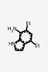 CCc1cc(CC)c2cc[nH]c2c1N